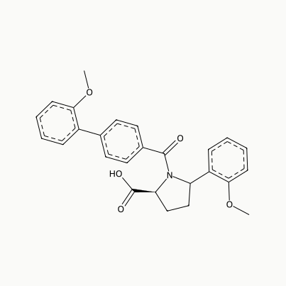 COc1ccccc1-c1ccc(C(=O)N2C(c3ccccc3OC)CC[C@H]2C(=O)O)cc1